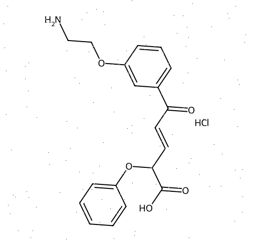 Cl.NCCOc1cccc(C(=O)C=CC(Oc2ccccc2)C(=O)O)c1